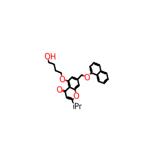 CC(C)c1cc(=O)c2c(OCCCCO)cc(COc3cccc4ccccc34)cc2o1